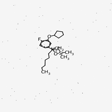 [CH2]C(CCCCCC)(O[Si](C)(C)C)c1ccc(F)c(OC2CCCC2)c1